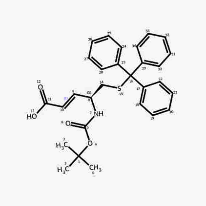 CC(C)(C)OC(=O)N[C@@H](/C=C/C(=O)O)CSC(c1ccccc1)(c1ccccc1)c1ccccc1